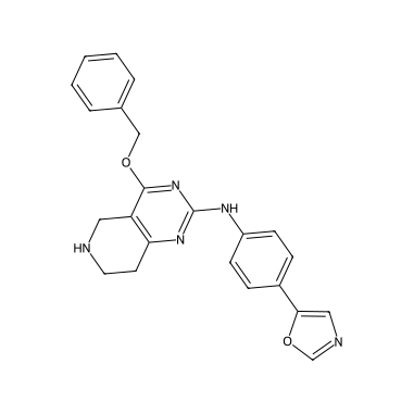 c1ccc(COc2nc(Nc3ccc(-c4cnco4)cc3)nc3c2CNCC3)cc1